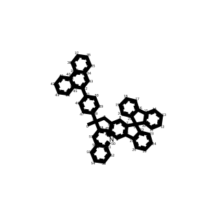 CC(Cc1ccc2c(c1)C1(c3ccccc3-c3ccccc31)c1ccccc1-2)(c1ccc(-c2cc3ccccc3c3ccccc23)cc1)c1cnc2ccccc2c1